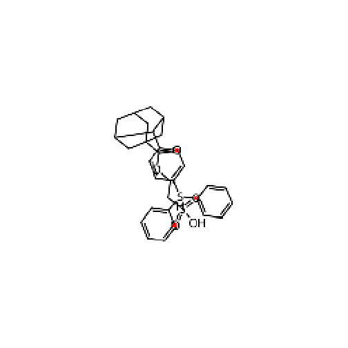 O=C(OCCS(=O)(=O)O)C12CC3CC(C1)C(c1ccc([SH](c4ccccc4)c4ccccc4)cc1)C(C3)C2